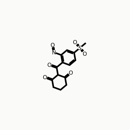 CS(=O)(=O)c1ccc(C(=O)C2C(=O)CCCC2=O)c(N=O)c1